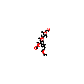 C=C\C(=C/C(=C/C(=C\C)OCC1CO1)C(/C)=C\C)OC(=C/C)/C=C(C(=C)C)/C(=C(\C=C)OCC1CO1)c1ccc(/C=C\CC(=C)OCC(C)CC)c(C)c1